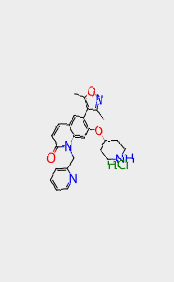 Cc1noc(C)c1-c1cc2ccc(=O)n(Cc3ccccn3)c2cc1OC1CCNCC1.Cl